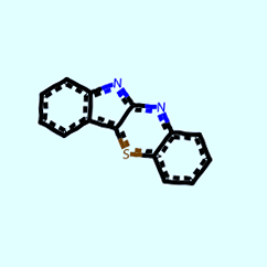 c1ccc2sc3c4ccccc4nc-3nc2c1